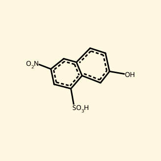 O=[N+]([O-])c1cc(S(=O)(=O)O)c2cc(O)ccc2c1